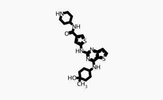 CC1(O)CCC(Nc2nc(Nc3cc(C(=O)NC4CCNCC4)cs3)nc3ccsc23)CC1